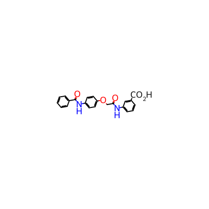 O=C(COc1ccc(NC(=O)c2ccccc2)cc1)Nc1cccc(C(=O)O)c1